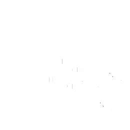 C=C.C=C.NC(N)=O.c1ccc(Cc2ccccc2)cc1